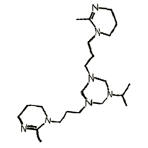 CC1=NCCCN1CCCN1CN(CCCN2CCCN=C2C)CN(C(C)C)C1